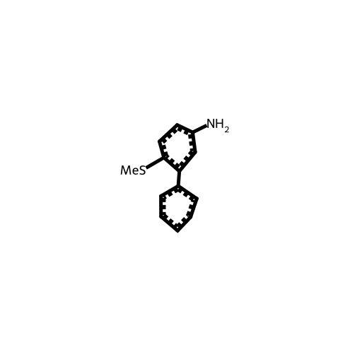 CSc1ccc(N)cc1-c1ccccc1